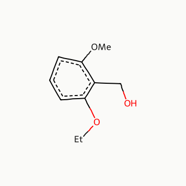 CCOc1cccc(OC)c1CO